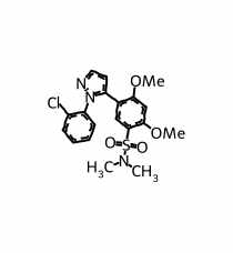 COc1cc(OC)c(S(=O)(=O)N(C)C)cc1-c1ccnn1-c1ccccc1Cl